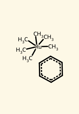 [CH3][Ru]([CH3])([CH3])([CH3])([CH3])[CH3].c1ccccc1